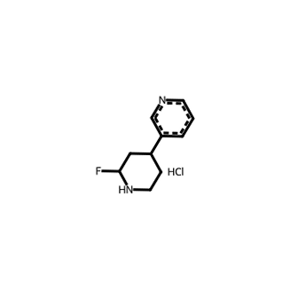 Cl.FC1CC(c2cccnc2)CCN1